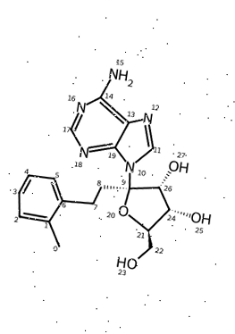 Cc1ccccc1CC[C@@]1(n2cnc3c(N)ncnc32)O[C@H](CO)[C@@H](O)[C@H]1O